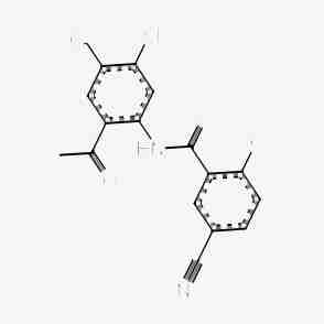 CC(=O)c1cc(Cl)c(Cl)cc1NC(=O)c1cc(C#N)ccc1Cl